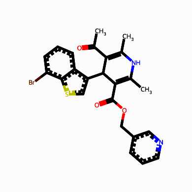 CC(=O)C1=C(C)NC(C)=C(C(=O)OCc2cccnc2)C1c1csc2c(Br)cccc12